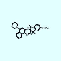 COc1ccc2c(c1)C(C)(C)C1(C=Nc3c(cc(N4CCCCC4)c4ccccc34)O1)N2C